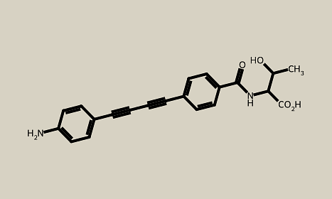 CC(O)C(NC(=O)c1ccc(C#CC#Cc2ccc(N)cc2)cc1)C(=O)O